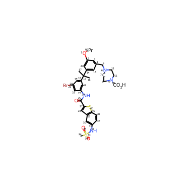 CC(C)Oc1cc(CN2CCN(C(=O)O)CC2)cc(C(C)(C)c2cc(Br)cc(NC(=O)c3cc4cc(NS(C)(=O)=O)ccc4s3)c2)c1